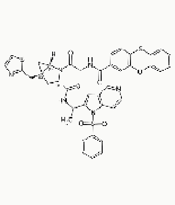 CC(NC(=O)[C@@H]1C[C@]2(Cc3nccs3)C[C@@H]2N1C(=O)CNC(=O)c1ccc2c(c1)Oc1ccccc1S2)c1cc2cnccc2n1S(=O)(=O)c1ccccc1